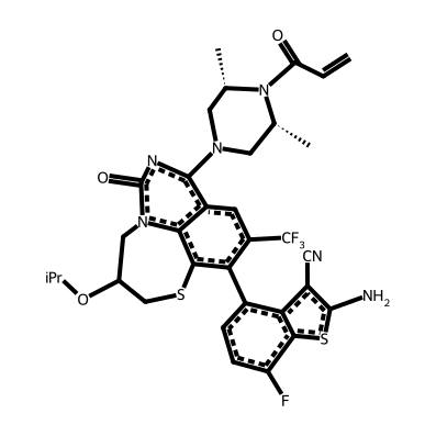 C=CC(=O)N1[C@H](C)CN(c2nc(=O)n3c4c(c(-c5ccc(F)c6sc(N)c(C#N)c56)c(C(F)(F)F)cc24)SCC(OC(C)C)C3)C[C@@H]1C